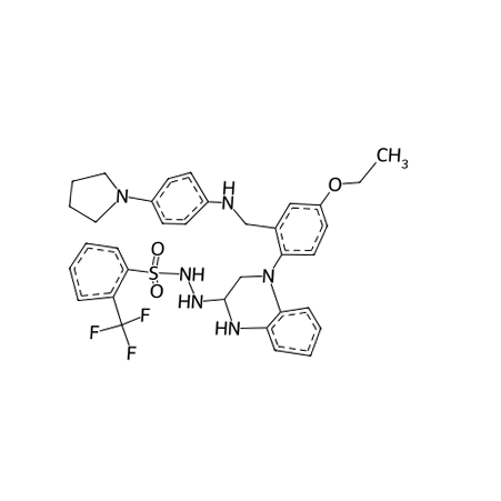 CCOc1ccc(N2CC(NNS(=O)(=O)c3ccccc3C(F)(F)F)Nc3ccccc32)c(CNc2ccc(N3CCCC3)cc2)c1